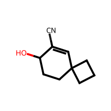 N#CC1=CC2(CCC2)CCC1O